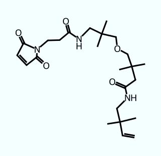 C=CC(C)(C)CNC(=O)CC(C)(C)COCC(C)(C)CNC(=O)CCN1C(=O)C=CC1=O